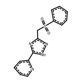 O=S(=O)(Cc1n[nH]c(-c2ccccn2)n1)c1ccccc1